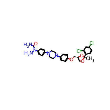 C[C@@]1(c2ccc(Cl)cc2Cl)OC[C@@H](COc2ccc(N3CCN(c4ccc(N(N)C(N)=O)cc4)CC3)cc2)O1